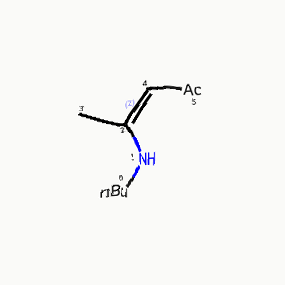 CCCCN/C(C)=C\C(C)=O